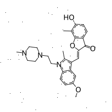 COc1ccc2c(c1)c(C=C1Oc3c(ccc(O)c3C)C1=O)c(C)n2CCN1CCN(C)CC1